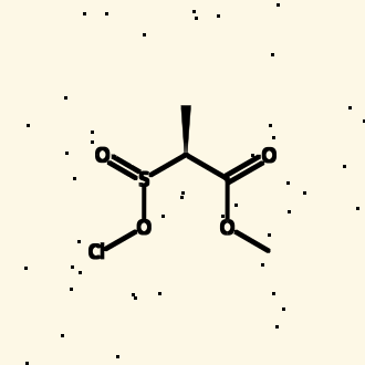 COC(=O)[C@H](C)S(=O)OCl